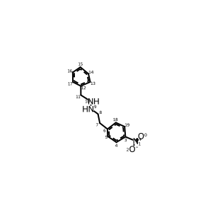 O=[N+]([O-])c1ccc(CCNNCc2ccccc2)cc1